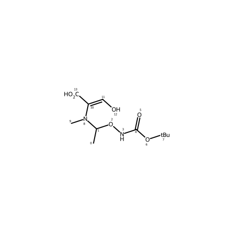 CC(ONC(=O)OC(C)(C)C)N(C)/C(=C\O)C(=O)O